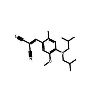 COc1cc(C=C(C#N)C#N)c(C)cc1N(CC(C)C)CC(C)C